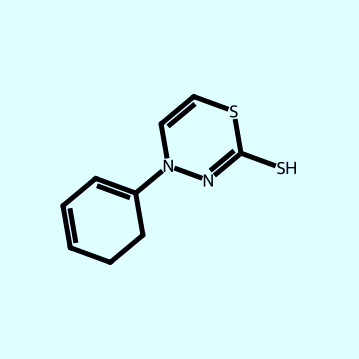 SC1=NN(C2=CC=CCC2)C=CS1